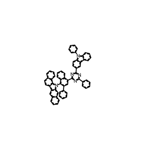 c1ccc(-c2nc(-c3ccc4c(c3)c3ccccc3n4-c3ccccc3)nc(-c3cc(-c4ccccc4)c(-n4c5cc6ccccc6cc5c5ccc6ccccc6c54)c4ccccc34)n2)cc1